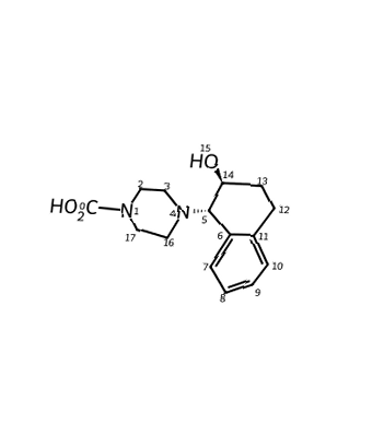 O=C(O)N1CCN([C@H]2c3ccccc3CC[C@@H]2O)CC1